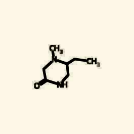 CCC1CNC(=O)CN1C